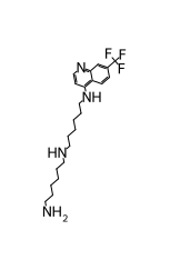 NCCCCCCNCCCCCCNc1ccnc2cc(C(F)(F)F)ccc12